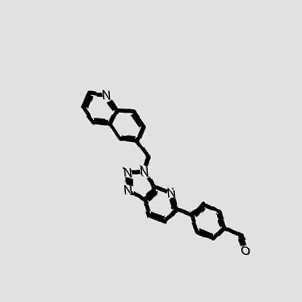 O=Cc1ccc(-c2ccc3nnn(Cc4ccc5ncccc5c4)c3n2)cc1